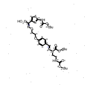 CC(C)(C)OC(=O)NCCN(/N=C/c1ccc(OCCO/N=C(/C(=O)O)c2csc(NC(=O)OC(C)(C)C)n2)cc1)C(=O)OC(C)(C)C